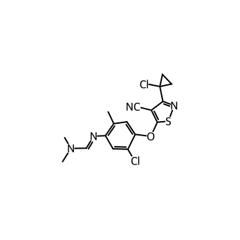 Cc1cc(Oc2snc(C3(Cl)CC3)c2C#N)c(Cl)cc1N=CN(C)C